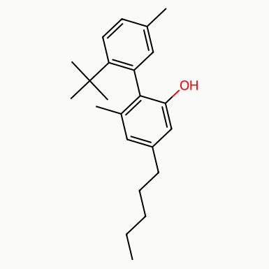 CCCCCc1cc(C)c(-c2cc(C)ccc2C(C)(C)C)c(O)c1